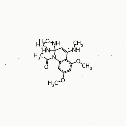 CNC1=CC(NC)(NC)N(C(C)=O)c2cc(OC)cc(OC)c21